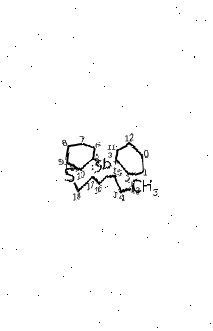 C1CC[CH]([Sb+][CH]2CCCCC2)CC1.CCCCCC[S-]